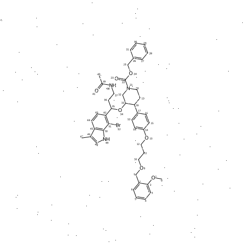 COc1ccccc1COCCCOc1ccc(C2CCN(C(=O)OCc3ccccc3)CC2OC(CCNC(C)=O)c2ccc3c(C)c[nH]c3c2Br)cc1